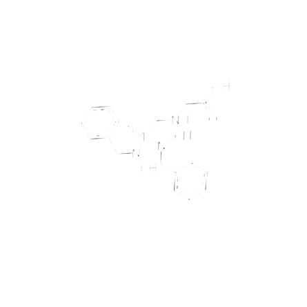 CN(Cc1ccccc1)P(=S)(CNCC(=O)O)N(C)Cc1ccccc1